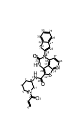 C=CC(=O)N1CCC[C@@H](NC(=O)c2sc3nccc4c3c2NC(=O)N4c2cc3ccccc3s2)C1